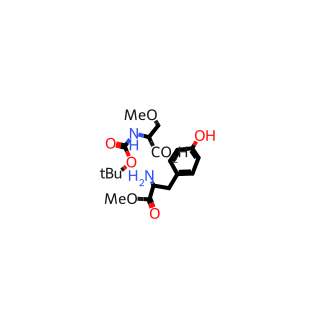 COC(=O)C(N)Cc1ccc(O)cc1.COCC(NC(=O)OC(C)(C)C)C(=O)O